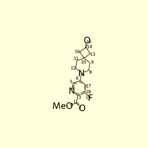 COC(=O)c1ncc(N2CCC3(CC2)CC(=O)C3)cc1F